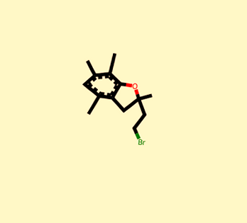 Cc1cc(C)c2c(c1C)OC(C)(CCBr)C2